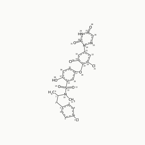 CC(Cc1ccc(Cl)cc1)N(C)S(=O)(=O)c1cc(Oc2c(Cl)cc(-n3ncc(=O)[nH]c3=O)cc2Cl)ccc1O